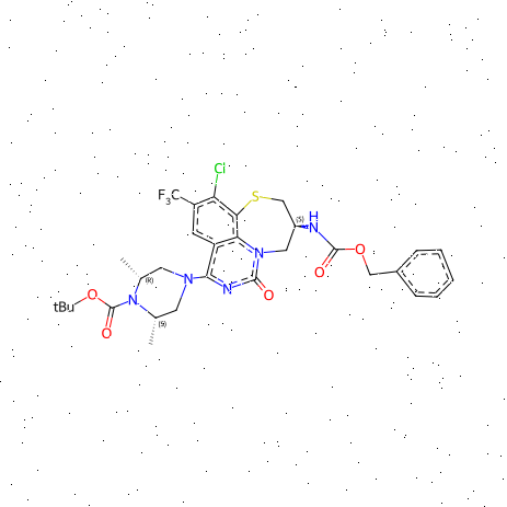 C[C@@H]1CN(c2nc(=O)n3c4c(c(Cl)c(C(F)(F)F)cc24)SC[C@@H](NC(=O)OCc2ccccc2)C3)C[C@H](C)N1C(=O)OC(C)(C)C